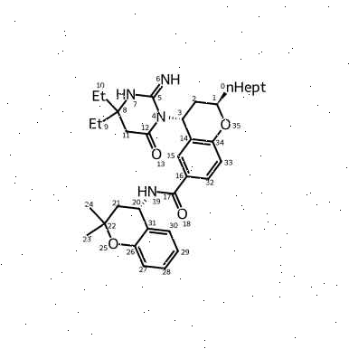 CCCCCCC[C@@H]1C[C@@H](N2C(=N)NC(CC)(CC)CC2=O)c2cc(C(=O)N[C@H]3CC(C)(C)Oc4ccccc43)ccc2O1